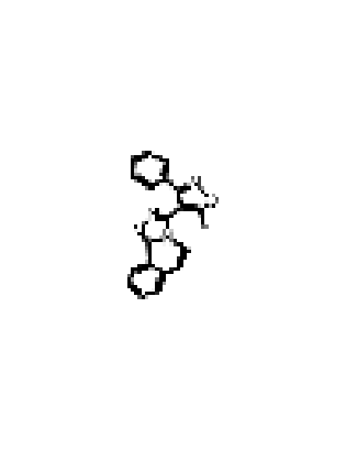 Cc1onc(-c2ccccc2)c1-c1nnc2c3ccccc3ccn12